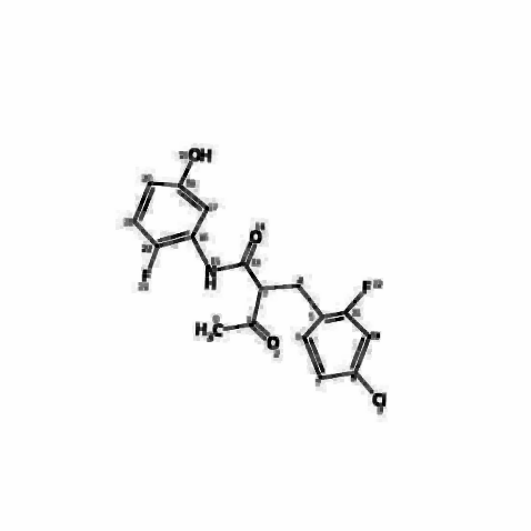 CC(=O)C(Cc1ccc(Cl)cc1F)C(=O)Nc1cc(O)ccc1F